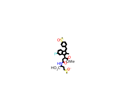 COC(=O)C(CC(=O)NC(CC[S+](C)[O-])C(=O)O)C1=C(C)/C(=C/c2ccc([S+](C)[O-])cc2)c2ccc(F)cc21